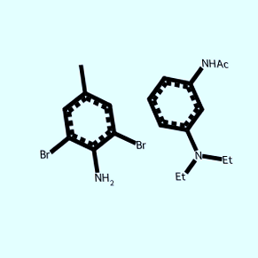 CCN(CC)c1cccc(NC(C)=O)c1.Cc1cc(Br)c(N)c(Br)c1